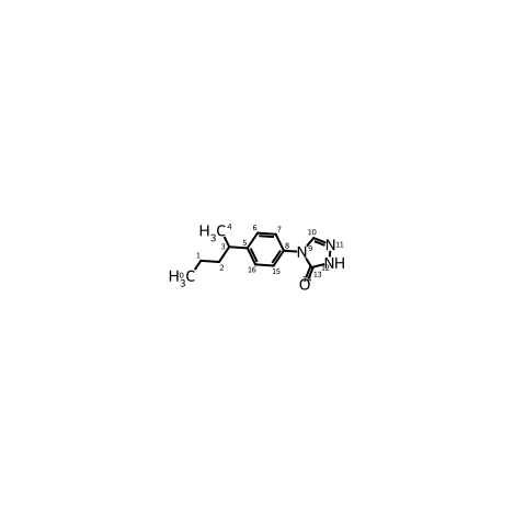 CCCC(C)c1ccc(-n2cn[nH]c2=O)cc1